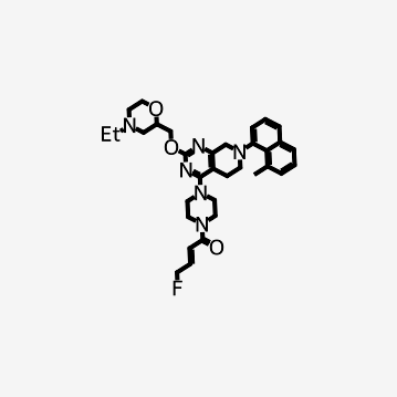 CCN1CCOC(COc2nc3c(c(N4CCN(C(=O)/C=C/CF)CC4)n2)CCN(c2cccc4cccc(C)c24)C3)C1